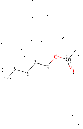 CCCCC[O][Sn]([CH3])=[O]